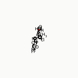 Cc1cc(Cl)cc(-c2ccnc3cc(Cn4c(=O)ccn(CC(F)(F)F)c4=O)sc23)c1OC1CC(N2[C@@H]3CC[C@H]2COC3)C1